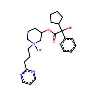 C[N@@+]1(CCCc2ncccn2)CCCC(OC(=O)C(O)(c2ccccc2)C2CCCC2)C1